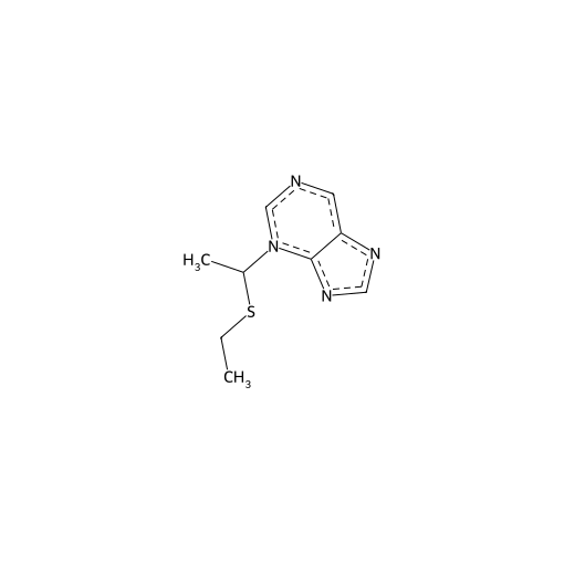 CCSC(C)n1cncc2ncnc1-2